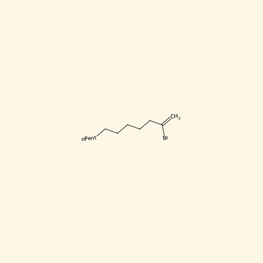 C=C(Br)CCCCCCCCCC